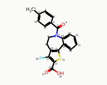 Cc1ccc(C(=O)N2CCc3c(sc(C(=O)O)c3F)-c3ccccc32)cc1